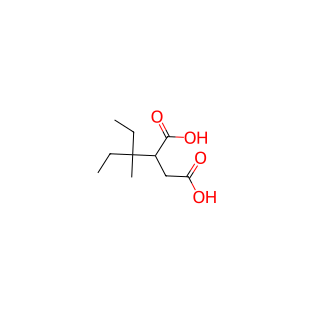 CCC(C)(CC)C(CC(=O)O)C(=O)O